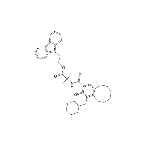 CC(C)(NC(=O)c1cc2c(n(CC3CCCCC3)c1=O)CCCCCC2)C(=O)OCCn1c2ccccc2c2ccccc21